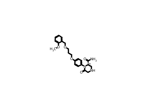 COc1ccccc1COCCCOc1ccc(N2C(=O)CNC[C@@H]2C(N)=O)cc1